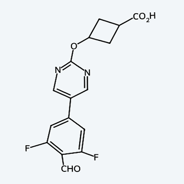 O=Cc1c(F)cc(-c2cnc(OC3CC(C(=O)O)C3)nc2)cc1F